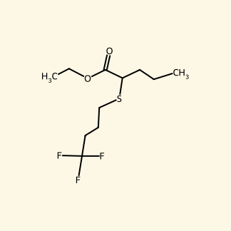 CCCC(SCCCC(F)(F)F)C(=O)OCC